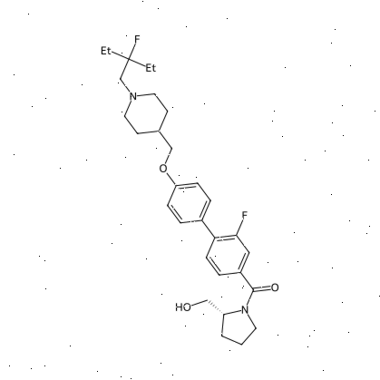 CCC(F)(CC)CN1CCC(COc2ccc(-c3ccc(C(=O)N4CCC[C@@H]4CO)cc3F)cc2)CC1